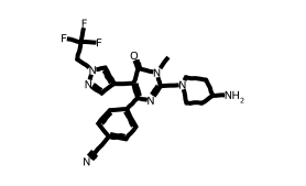 Cn1c(N2CCC(N)CC2)nc(-c2ccc(C#N)cc2)c(-c2cnn(CC(F)(F)F)c2)c1=O